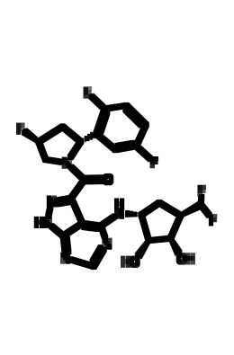 O=C(c1n[nH]c2ncnc(N[C@@H]3C[C@@H](C(F)F)[C@@H](O)[C@H]3O)c12)N1C[C@@H](F)C[C@@H]1c1cc(F)ccc1F